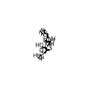 COC1(NC(=O)Cn2cnnn2)C(=O)N2C(C(=O)O)=C(CSc3nnc[nH]3)CS[C@@H]21